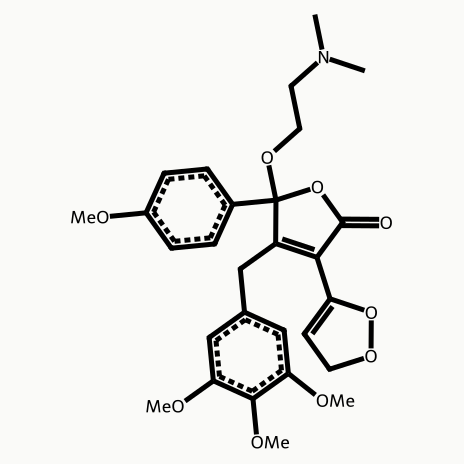 COc1ccc(C2(OCCN(C)C)OC(=O)C(C3=CCOO3)=C2Cc2cc(OC)c(OC)c(OC)c2)cc1